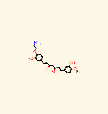 CCOc1ccc(/C=C/C(=O)CC(=O)/C=C/c2ccc(OCCN)c(O)c2)cc1O